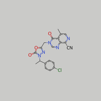 Cc1cnc(C#N)c2ncn(Cc3nn(C(C)c4ccc(Cl)cc4)c(=O)o3)c(=O)c12